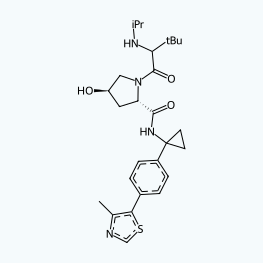 Cc1ncsc1-c1ccc(C2(NC(=O)[C@@H]3C[C@@H](O)CN3C(=O)C(NC(C)C)C(C)(C)C)CC2)cc1